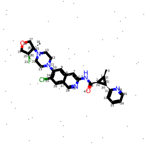 C[C@@H]1[C@H](C(=O)Nc2cc3cc(N4CCN([C@]5(C)COC[C@@H]5F)CC4)c(Cl)cc3cn2)[C@H]1c1ccccn1